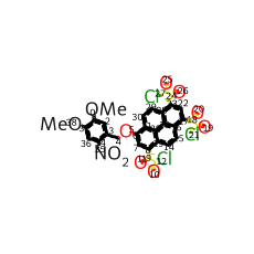 COc1cc(COc2cc(S(=O)(=O)Cl)c3ccc4c(S(=O)(=O)Cl)cc(S(=O)(=O)Cl)c5ccc2c3c54)c([N+](=O)[O-])cc1OC